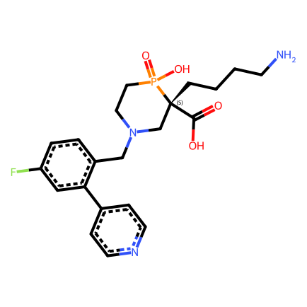 NCCCC[C@@]1(C(=O)O)CN(Cc2ccc(F)cc2-c2ccncc2)CCP1(=O)O